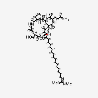 CNC(=NCCCCCCCCCCCCCCCCC(=O)NC(C)C(=O)NC12CS/C=C\NC(=O)C(CO)NC(=O)CNC(=O)C(CC(C)C)NC(=O)C(C1)NC(=O)C(CCC(N)=O)NC2=O)NC